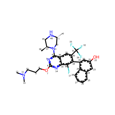 C[C@@H]1CN(c2nc(OCCCN(C)C)nc3c(F)c(-c4cc(O)cc5ccccc45)c(C(F)(F)F)cc23)[C@@H](C)CN1